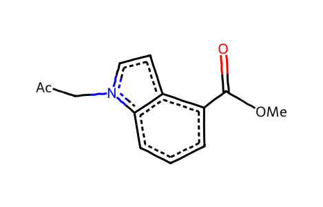 COC(=O)c1cccc2c1ccn2CC(C)=O